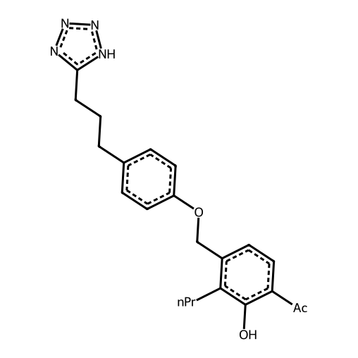 CCCc1c(COc2ccc(CCCc3nnn[nH]3)cc2)ccc(C(C)=O)c1O